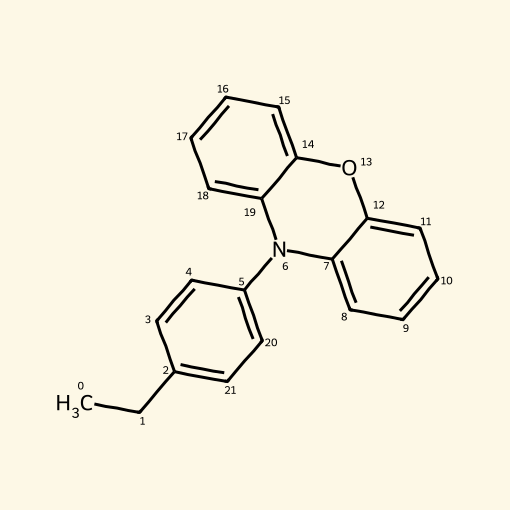 CCc1ccc(N2c3ccccc3Oc3ccccc32)cc1